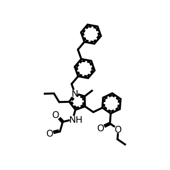 CCCc1c(NC(=O)C=O)c(Cc2ccccc2C(=O)OCC)c(C)n1Cc1cccc(Cc2ccccc2)c1